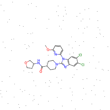 COc1cccc(-n2c(N3CCC(C(=O)NC4CCOC4)CC3)nc3cc(Cl)c(Cl)cc32)n1